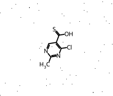 Cc1ncc(C(O)=S)c(Cl)n1